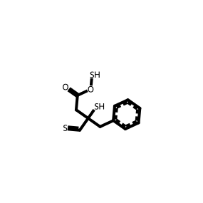 O=C(CC(S)(C=S)Cc1ccccc1)OS